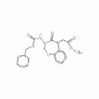 CC(C)(C)OC(=O)CN1C(=O)C(NC(=O)OCc2ccccc2)COc2ccccc21